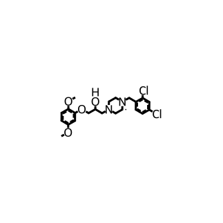 COc1ccc(OC)c(OCC(O)CN2C[CH]N(Cc3ccc(Cl)cc3Cl)CC2)c1